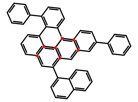 c1ccc(-c2ccc(N(c3cccc(-c4cccc5ccccc45)c3)c3cccc(-c4ccccc4)c3-c3ccccc3-c3ccccc3)cc2)cc1